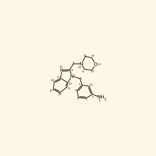 Nc1cccc(Cn2c(CN3CCOCC3)nc3ccccc32)c1